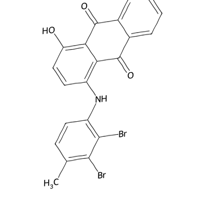 Cc1ccc(Nc2ccc(O)c3c2C(=O)c2ccccc2C3=O)c(Br)c1Br